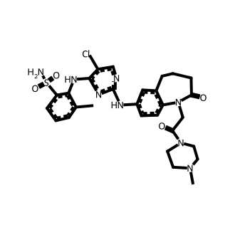 Cc1cccc(S(N)(=O)=O)c1Nc1nc(Nc2ccc3c(c2)CCCC(=O)N3CC(=O)N2CCN(C)CC2)ncc1Cl